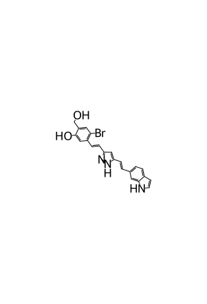 OCc1cc(Br)c(/C=C/c2cc(/C=C/c3ccc4cc[nH]c4c3)[nH]n2)cc1O